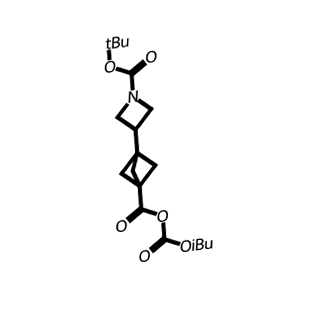 CC(C)COC(=O)OC(=O)C12CC(C3CN(C(=O)OC(C)(C)C)C3)(C1)C2